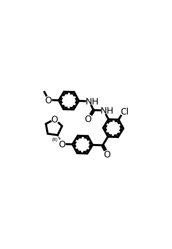 COc1ccc(NC(=O)Nc2cc(C(=O)c3ccc(O[C@@H]4CCOC4)cc3)ccc2Cl)cc1